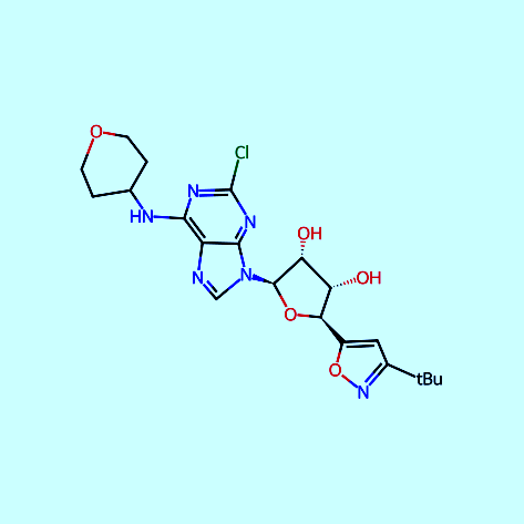 CC(C)(C)c1cc([C@H]2O[C@@H](n3cnc4c(NC5CCOCC5)nc(Cl)nc43)[C@H](O)[C@@H]2O)on1